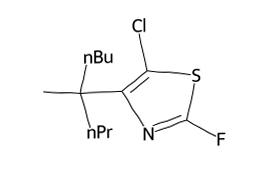 CCCCC(C)(CCC)c1nc(F)sc1Cl